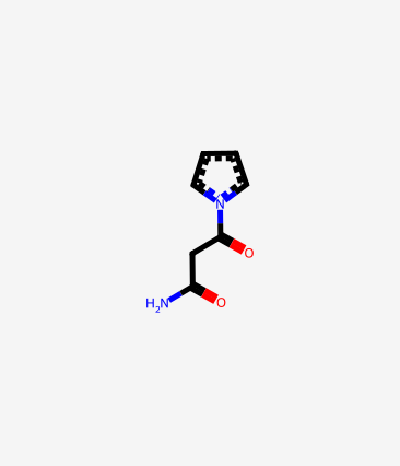 NC(=O)CC(=O)n1cccc1